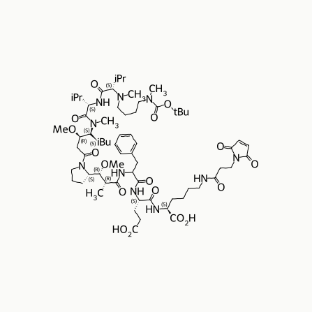 CC[C@H](C)[C@@H]([C@@H](CC(=O)N1CCC[C@H]1[C@H](OC)[C@@H](C)C(=O)NC(Cc1ccccc1)C(=O)N[C@@H](CCC(=O)O)C(=O)N[C@@H](CCCCNC(=O)CCN1C(=O)C=CC1=O)C(=O)O)OC)N(C)C(=O)[C@@H](NC(=O)[C@H](C(C)C)N(C)CCCCN(C)C(=O)OC(C)(C)C)C(C)C